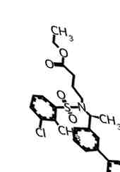 CCOC(=O)CCCN([C@@H](C)c1cccc(-c2ccncc2)c1)S(=O)(=O)c1cccc(Cl)c1C